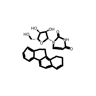 C1=Cc2ccc3c(c2CC1)CCc1ccccc1-3.O=c1ccn([C@@H]2O[C@H](CO)[C@@H](O)[C@H]2O)c(=O)[nH]1